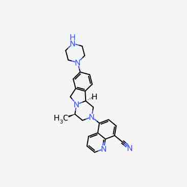 C[C@@H]1CN(c2ccc(C#N)c3ncccc23)C[C@@H]2c3ccc(N4CCNCC4)cc3CN12